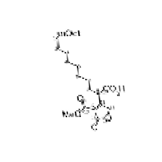 CCCCCCCC/C=C\CCCCCCC(C(=O)O)C1=C(C(=O)OC)C(=O)OC1